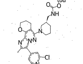 Cc1nc2c3c(c(N4CCC[C@H](CNC(=O)OC(C)(C)C)C4)nn2c1-c1ccnc(Cl)c1)CCCO3